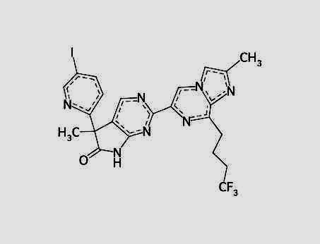 Cc1cn2cc(-c3ncc4c(n3)NC(=O)C4(C)c3ccc(I)cn3)nc(CCCC(F)(F)F)c2n1